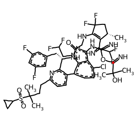 C[C@H]1CC(F)(F)C(NCC(=O)N[C@@H](Cc2cc(F)cc(F)c2)c2nc(CCC(C)(C)S(=O)(=O)C3CC3)ccc2-c2ccc(Cl)c3c(NC(=N)OC(=N)C(C)(C)O)nn(CC(F)F)c23)=C1C(=N)C(F)F